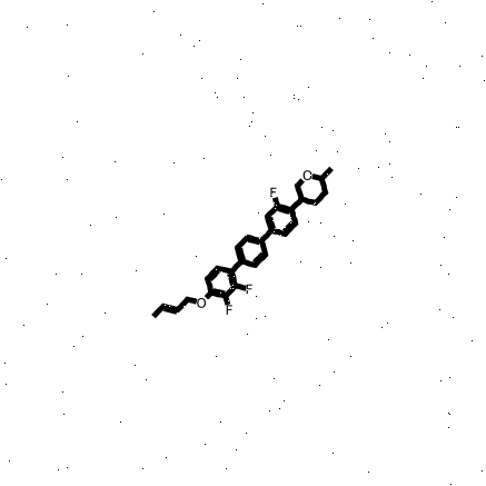 C/C=C/COc1ccc(-c2ccc(-c3ccc(C4CCC(C)OC4)c(F)c3)cc2)c(F)c1F